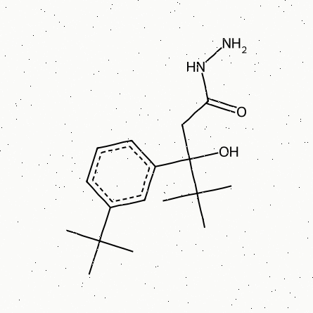 CC(C)(C)c1cccc(C(O)(CC(=O)NN)C(C)(C)C)c1